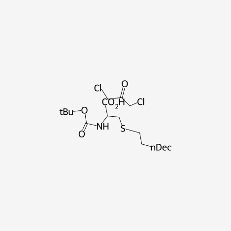 CCCCCCCCCCCCSCC(NC(=O)OC(C)(C)C)C(=O)O.O=C(CCl)CCl